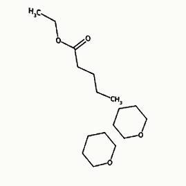 C1CCOCC1.C1CCOCC1.CCCCC(=O)OCC